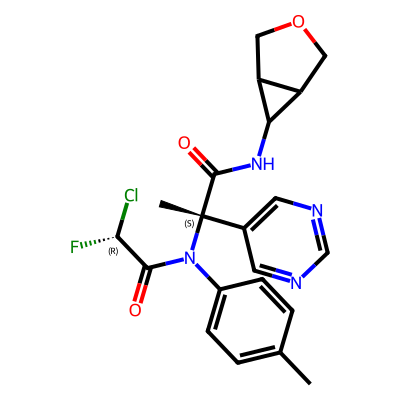 Cc1ccc(N(C(=O)[C@H](F)Cl)[C@](C)(C(=O)NC2C3COCC32)c2cncnc2)cc1